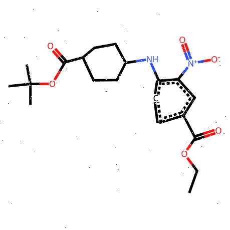 CCOC(=O)c1ccc(NC2CCC(C(=O)OC(C)(C)C)CC2)c([N+](=O)[O-])c1